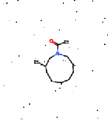 CCC(=O)N1CCCCCCCC(CC)C1